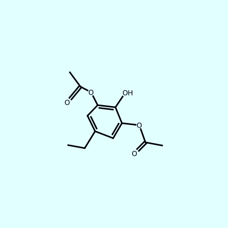 CCc1cc(OC(C)=O)c(O)c(OC(C)=O)c1